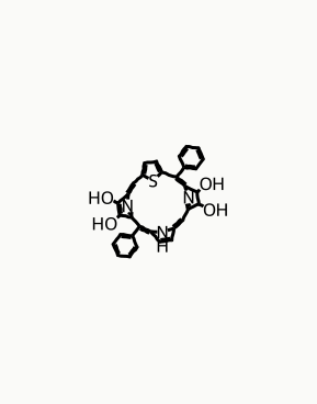 OC1=C(O)c2nc1cc1ccc(s1)c(-c1ccccc1)c1nc(cc3ccc([nH]3)c2-c2ccccc2)C(O)C1O